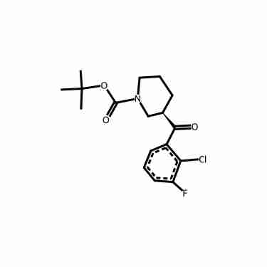 CC(C)(C)OC(=O)N1CCC[C@@H](C(=O)c2cccc(F)c2Cl)C1